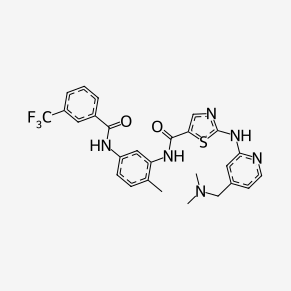 Cc1ccc(NC(=O)c2cccc(C(F)(F)F)c2)cc1NC(=O)c1cnc(Nc2cc(CN(C)C)ccn2)s1